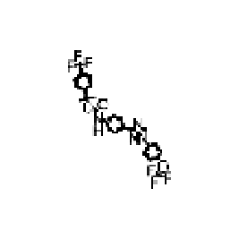 CC(C)(OC(=O)Nc1ccc(-c2ncn(-c3ccc(OC(F)(F)F)cc3)n2)cc1)c1ccc(C(F)(F)F)cc1